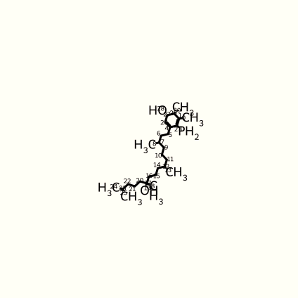 CC1=C(P)C(CCC(C)CCCC(C)CCCC(C)(O)CCCC(C)C)=CC(O)C1C